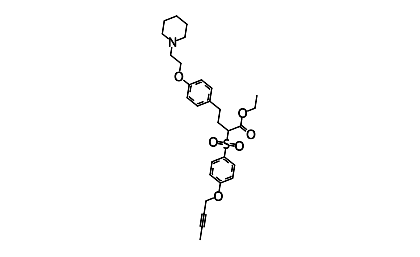 CC#CCOc1ccc(S(=O)(=O)C(CCc2ccc(OCCN3CCCCC3)cc2)C(=O)OCC)cc1